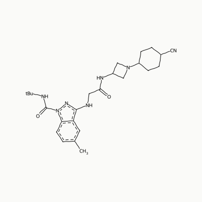 Cc1ccc2c(c1)c(NCC(=O)NC1CN(C3CCC(C#N)CC3)C1)nn2C(=O)NC(C)(C)C